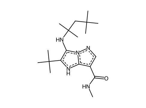 CNC(=O)c1cnn2c(NC(C)(C)CC(C)(C)C)c(C(C)(C)C)[nH]c12